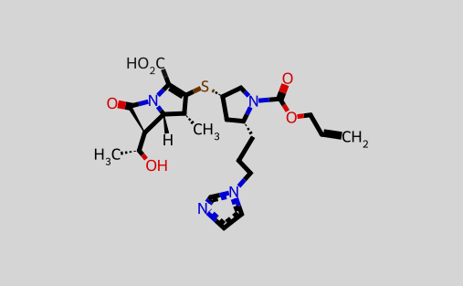 C=CCOC(=O)N1C[C@@H](SC2=C(C(=O)O)N3C(=O)[C@H]([C@@H](C)O)[C@H]3[C@H]2C)C[C@H]1CCCn1ccnc1